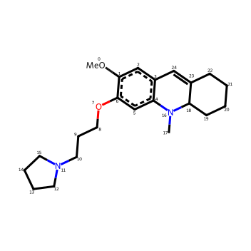 COc1cc2c(cc1OCCCN1CCCC1)N(C)C1CCCCC1=C2